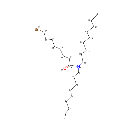 CCCCCCCCCN(CCCCCCCCC)C(=O)CCCCCCCBr